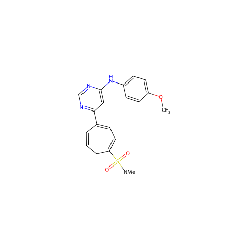 CNS(=O)(=O)C1=CC=C(c2cc(Nc3ccc(OC(F)(F)F)cc3)ncn2)C=CC1